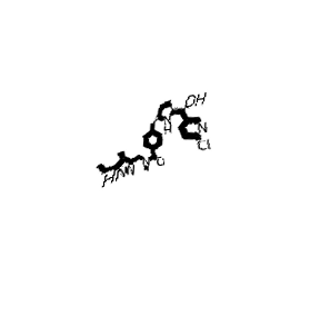 CCc1[nH]nc(CN(C)C(=O)c2ccc(C[C@@H]3CC[C@H]([C@H](O)c4ccc(Cl)nc4)N3)cc2)c1C